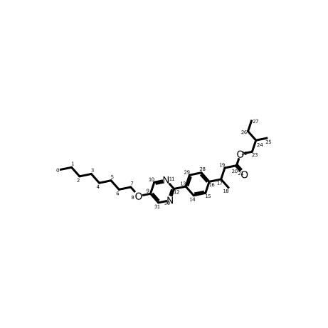 CCCCCCCCOc1cnc(-c2ccc(C(C)CC(=O)OCC(C)CC)cc2)nc1